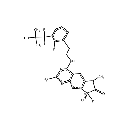 Cc1nc(NCCc2cccc(C(F)(F)C(C)(C)O)c2F)c2cc3c(cc2n1)[C@@](C)(F)C(=O)N3C